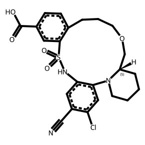 N#Cc1cc2c(cc1Cl)N1CCCC[C@H]1COCCCc1ccc(C(=O)O)cc1S(=O)(=O)N2